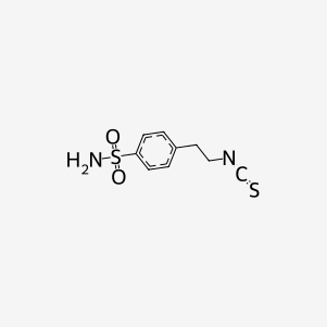 NS(=O)(=O)c1ccc(CCN=C=S)cc1